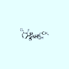 CC[C@@H](O)CNS(=O)(=O)c1cccc(Cl)c1F